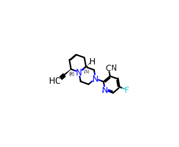 C#C[C@H]1CCC[C@H]2CN(c3ncc(F)cc3C#N)CCN21